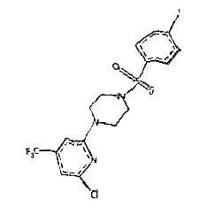 O=S(=O)(c1ccc(I)cc1)N1CCN(c2cc(C(F)(F)F)cc(Cl)n2)CC1